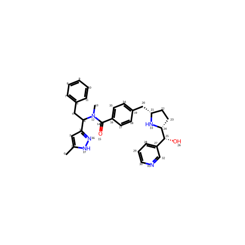 Cc1cc(C(Cc2ccccc2)N(C)C(=O)c2ccc(C[C@@H]3CC[C@H]([C@H](O)c4cccnc4)N3)cc2)n[nH]1